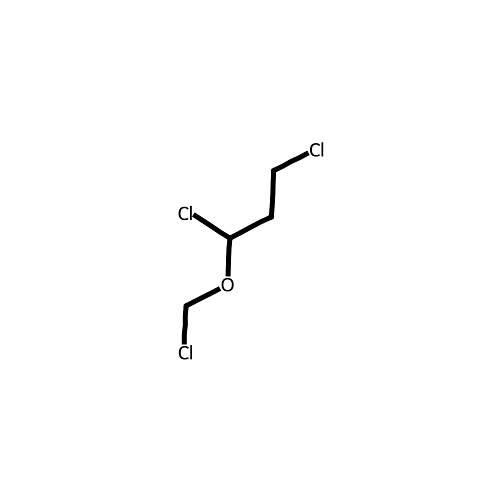 ClCCC(Cl)OCCl